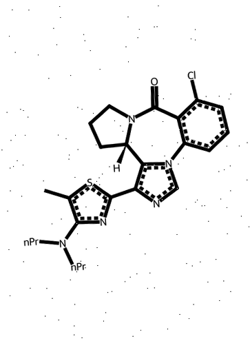 CCCN(CCC)c1nc(-c2ncn3c2[C@@H]2CCCN2C(=O)c2c(Cl)cccc2-3)sc1C